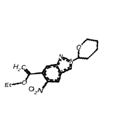 C=C(OCC)c1cc2nn(C3CCCCO3)cc2cc1[N+](=O)[O-]